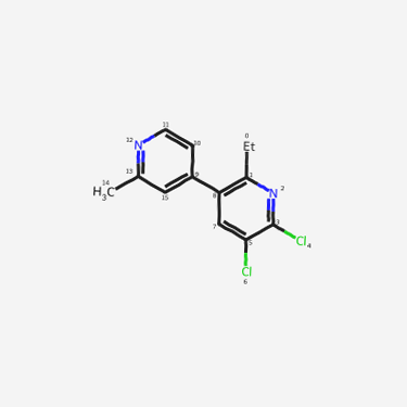 CCc1nc(Cl)c(Cl)cc1-c1ccnc(C)c1